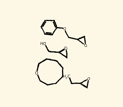 C1CCCCOCCC1.CCC1CO1.OCC1CO1.c1ccc(OCC2CO2)cc1